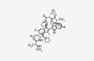 CC[C@H](NC(=O)[C@H](C)NC)C(=O)N1CCC[C@H]1Cc1c(-c2[nH]c3cc(F)ccc3c2C[C@@H]2C3CCC(C3)N2C(=O)[C@H](CC)NC(=O)[C@H](C)NC)[nH]c2cc(F)ccc12